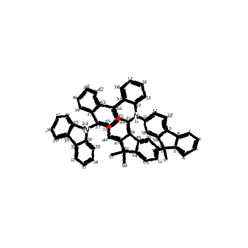 CC1(C)c2ccccc2-c2ccc(N(c3ccccc3-c3ccc(-n4c5ccccc5c5ccccc54)c4ccccc34)c3cccc4c3-c3ccccc3C4(C)C)cc21